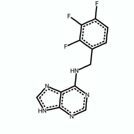 Fc1ccc(CNc2ncnc3[nH]cnc23)c(F)c1F